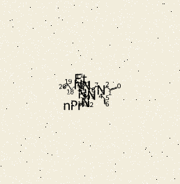 C=CCN(CC=C)Cc1nc(N(C)CCC)nc(N(CC)CC=C)n1